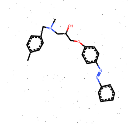 Cc1ccc(CN(C)CC(O)COc2ccc(N=Nc3ccccc3)cc2)cc1